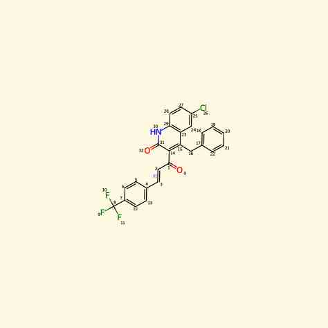 O=C(/C=C/c1ccc(C(F)(F)F)cc1)c1c(Cc2ccccc2)c2cc(Cl)ccc2[nH]c1=O